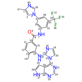 Cc1cn(-c2cc(NC(=O)c3ccc(C)c(Nc4nccn4-c4ncnc5[nH]ccc45)c3)cc(C(F)(F)F)c2)cn1